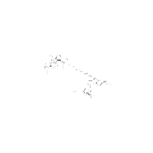 Cc1cc(N2CCC(N(CCCCCCOCCCCCC(=O)Nc3cccc4c3C(=O)N(C3CCC(=O)NC3=O)C4=O)Cc3cccc(N4CCCC4)c3)CC2)nc(N)n1